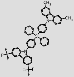 Cc1ccc2c(c1)c1cc(C)ccc1n2-c1ccc([Si](c2ccccc2)(c2ccccc2)c2ccc(-n3c4ccc(C(F)(F)F)cc4c4cc(C(F)(F)F)ccc43)cc2)cc1